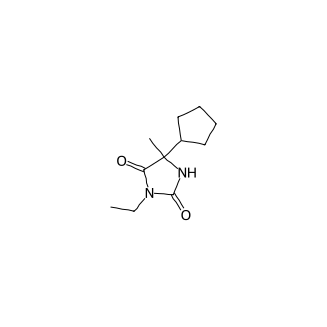 CCN1C(=O)NC(C)(C2CCCC2)C1=O